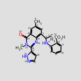 Cc1cc(C(C)Nc2ccccc2C(=O)O)c2nc(-c3ccn[nH]3)n(C)c(=O)c2c1